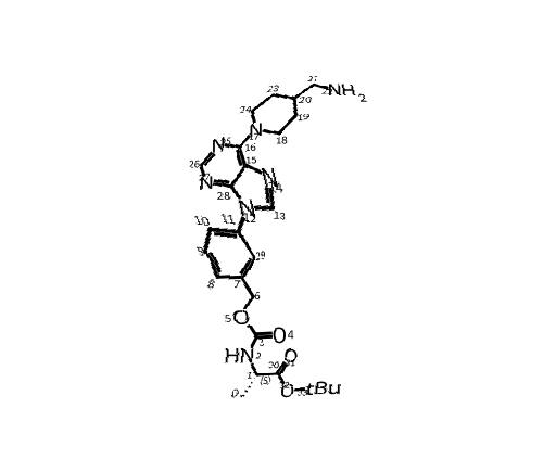 C[C@H](NC(=O)OCc1cccc(-n2cnc3c(N4CCC(CN)CC4)ncnc32)c1)C(=O)OC(C)(C)C